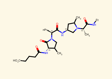 CCC[C@@H](C(=O)N[C@H]1CC(C)N([C@@H](C)C(=O)NCC)C1)N1CC(C)[C@H](NC(=O)CCCC(=O)O)C1=O